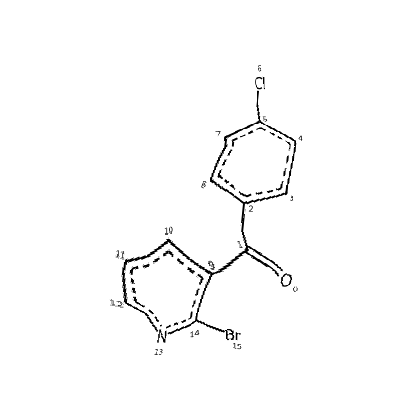 O=C(c1ccc(Cl)cc1)c1cccnc1Br